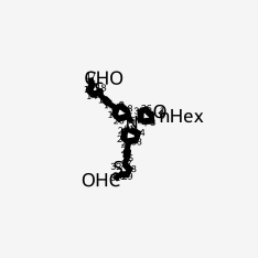 CCCCCCOc1ccc(N(c2ccc(C#Cc3ccc(C=O)s3)cc2)c2ccc(C#Cc3ccc(C=O)s3)cc2)cc1